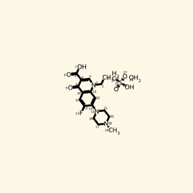 CCn1cc(C(=O)O)c(=O)c2cc(F)c(N3CCN(C)CC3)cc21.CS(=O)(=O)O.O